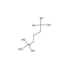 O[PH](O)(O)CCCC(S)(S)S